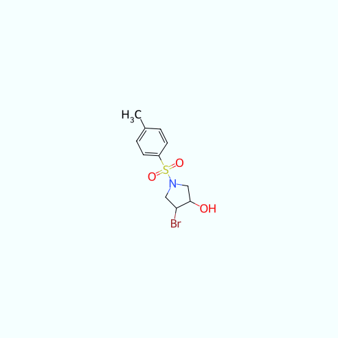 Cc1ccc(S(=O)(=O)N2CC(O)C(Br)C2)cc1